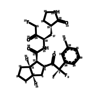 C[C@](F)(C(=O)N1C[C@H]2CCC[C@H]2[C@H]1C(=O)N[C@H](C[C@@H]1CCNC1=O)C(=O)CF)c1cccc(F)c1